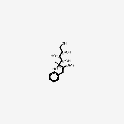 COC(=Cc1ccccc1)[C@](C)(O)[C@@H](O)[C@H](O)[C@H](O)CO